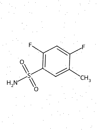 Cc1cc(S(N)(=O)=O)c(F)cc1F